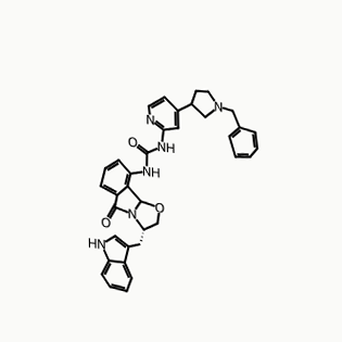 O=C(Nc1cc(C2CCN(Cc3ccccc3)C2)ccn1)Nc1cccc2c1C1OC[C@H](Cc3c[nH]c4ccccc34)N1C2=O